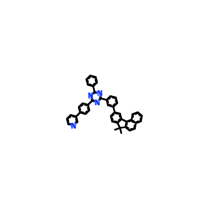 CC1(C)c2ccc(-c3cccc(-c4nc(-c5ccccc5)nc(-c5ccc(-c6cccnc6)cc5)n4)c3)cc2-c2c1ccc1ccccc21